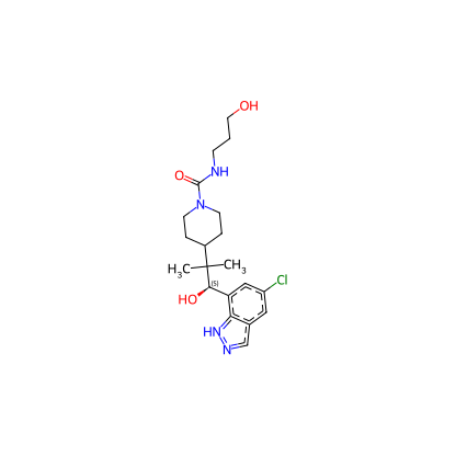 CC(C)(C1CCN(C(=O)NCCCO)CC1)[C@H](O)c1cc(Cl)cc2cn[nH]c12